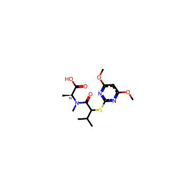 COc1cc(OC)nc(SC(C(=O)N(C)[C@@H](C)C(=O)O)C(C)C)n1